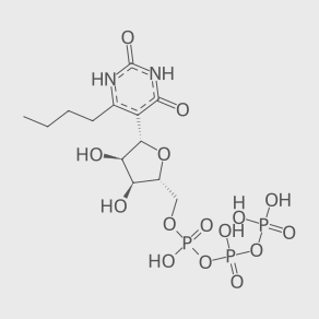 CCCCc1[nH]c(=O)[nH]c(=O)c1[C@@H]1O[C@H](COP(=O)(O)OP(=O)(O)OP(=O)(O)O)[C@@H](O)[C@H]1O